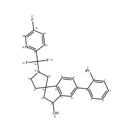 CC(C)c1ccccc1-c1ccc2c(c1)C(O)CC21CCN(C(F)(F)c2ccc(F)cn2)C1